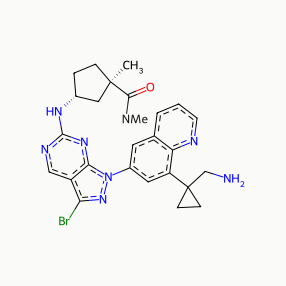 CNC(=O)[C@]1(C)CC[C@@H](Nc2ncc3c(Br)nn(-c4cc(C5(CN)CC5)c5ncccc5c4)c3n2)C1